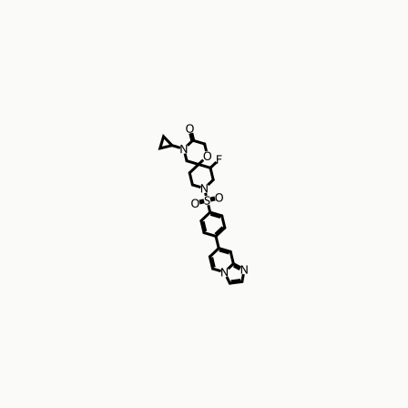 O=C1COC2(CCN(S(=O)(=O)c3ccc(-c4ccn5ccnc5c4)cc3)CC2F)CN1C1CC1